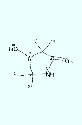 CC1(C)NC(=O)C(C)(C)N1O